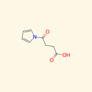 O=C(O)CCC(=O)n1cccc1